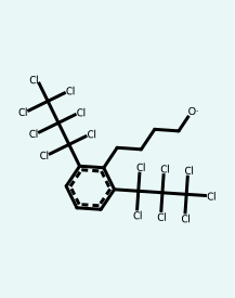 [O]CCCCc1c(C(Cl)(Cl)C(Cl)(Cl)C(Cl)(Cl)Cl)cccc1C(Cl)(Cl)C(Cl)(Cl)C(Cl)(Cl)Cl